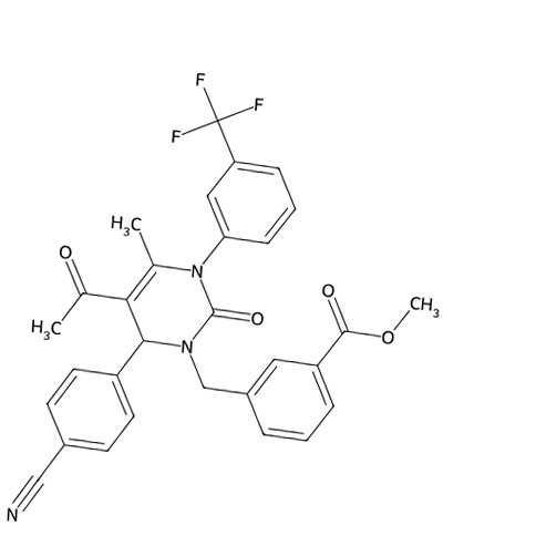 COC(=O)c1cccc(CN2C(=O)N(c3cccc(C(F)(F)F)c3)C(C)=C(C(C)=O)C2c2ccc(C#N)cc2)c1